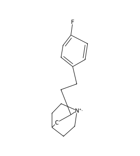 Fc1ccc(CCC2CC3CC[N+]2CC3)cc1